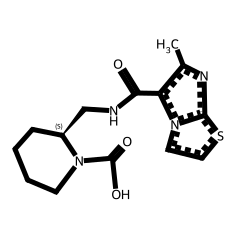 Cc1nc2sccn2c1C(=O)NC[C@@H]1CCCCN1C(=O)O